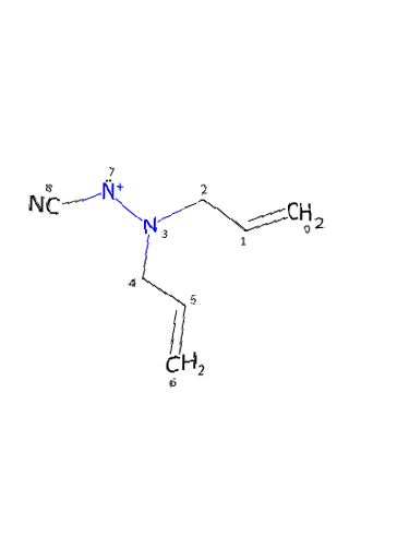 C=CCN(CC=C)[N+]C#N